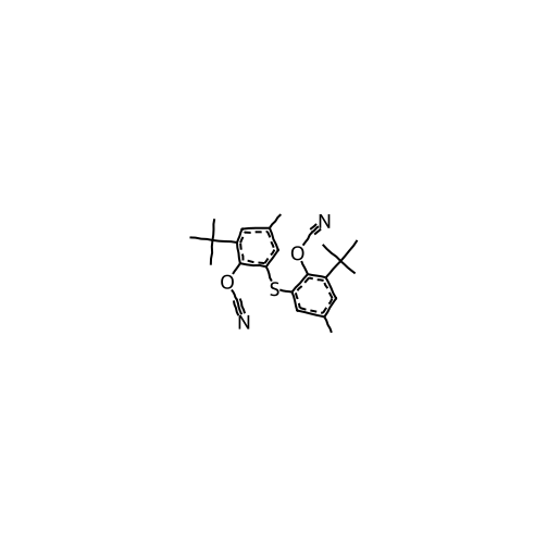 Cc1cc(Sc2cc(C)cc(C(C)(C)C)c2OC#N)c(OC#N)c(C(C)(C)C)c1